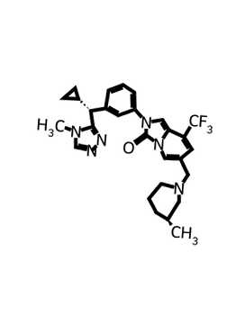 C[C@H]1CCCN(Cc2cc(C(F)(F)F)c3cn(-c4cccc([C@H](c5nncn5C)C5CC5)c4)c(=O)n3c2)C1